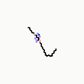 CCCCC/C=C\C/C=C\CCCCCCCCOc1c2ncnc(SCCCCCC)c2nn1C